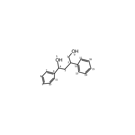 OCC(CC(O)c1ccccc1)c1ccccc1